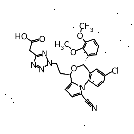 COc1cccc([C@H]2O[C@H](CCn3nnc(CC(=O)O)n3)c3ccc(C#N)n3-c3ccc(Cl)cc32)c1OC